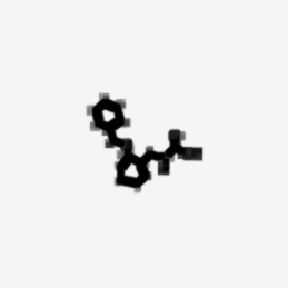 O=C(O)NCc1ccccc1OCc1ccccc1